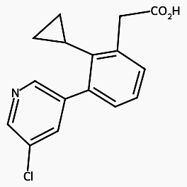 O=C(O)Cc1cccc(-c2cncc(Cl)c2)c1C1CC1